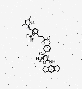 CC1=CC(C)=[N+](C)/C1=C\c1ccc(CCC(=O)N(C)CC2=CCC(S(N)(=O)=NC(=O)Nc3c4c(cc5c3CCC5)CCC4)C=C2)n1[BH-](F)F